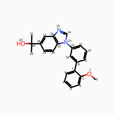 COc1ccccc1-c1cccc(-n2cnc3cc(C(C)(C)O)ccc32)c1